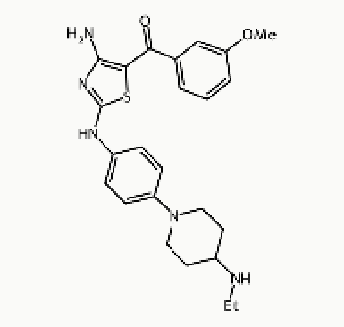 CCNC1CCN(c2ccc(Nc3nc(N)c(C(=O)c4cccc(OC)c4)s3)cc2)CC1